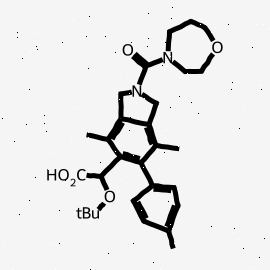 Cc1ccc(-c2c(C)c3c(c(C)c2C(OC(C)(C)C)C(=O)O)CN(C(=O)N2CCCOCC2)C3)cc1